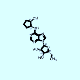 CC[C@H]1O[C@@H](n2cnc3c(N[C@H]4CCC[C@H]4O)ncnc32)[C@H](O)[C@@H]1O